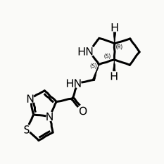 O=C(NC[C@H]1NC[C@@H]2CCC[C@@H]21)c1cnc2sccn12